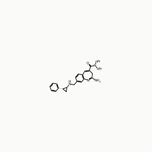 CCCN(CCC)C(=O)C1=Cc2ccc(CN[C@H]3C[C@@H]3c3ccccc3)cc2N=C(N)C1